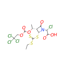 CCSC(=S)S[C@@H]1[C@H](C(C)OC(=O)OCC(Cl)(Cl)Cl)C(=O)N1C(Cl)C(=O)O